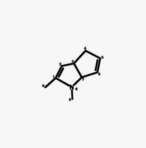 CC1=CC2CC=CC2N1C